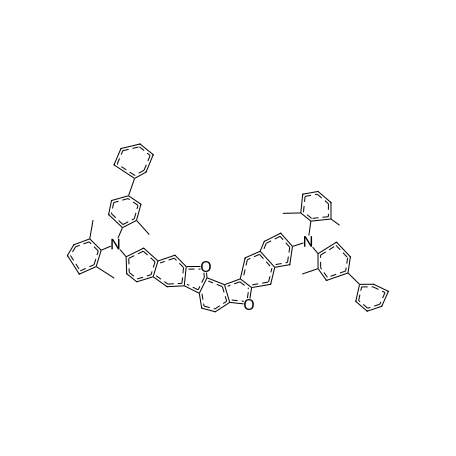 Cc1cc(-c2ccccc2)ccc1N(c1ccc2cc3c(cc2c1)oc1c3ccc2oc3cc4cc(N(c5ccc(-c6ccccc6)cc5C)c5c(C)cccc5C)ccc4cc3c21)c1c(C)cccc1C